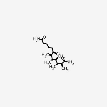 C=C(CCCCC(N)=O)C(=C)C(=C)C(=C)C(=C)C(=C)C(N)=O